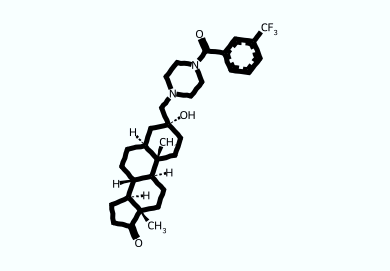 C[C@]12CC[C@](O)(CN3CCN(C(=O)c4cccc(C(F)(F)F)c4)CC3)C[C@@H]1CC[C@@H]1[C@@H]2CC[C@]2(C)C(=O)CC[C@@H]12